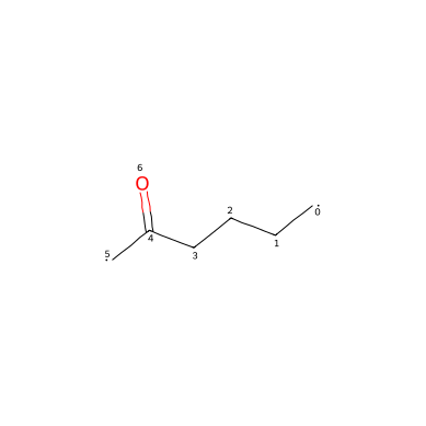 [CH2]CCCC([CH2])=O